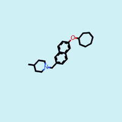 CC1CCN(Cc2ccc3cc(OC4CCCCCC4)ccc3c2)CC1